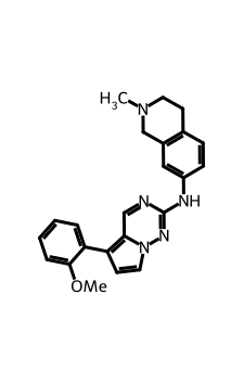 COc1ccccc1-c1ccn2nc(Nc3ccc4c(c3)CN(C)CC4)ncc12